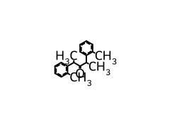 Cc1ccccc1C(C)C(=O)C(C)c1ccccc1C